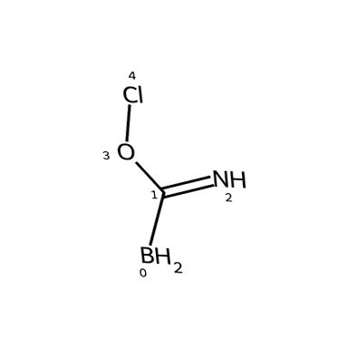 BC(=N)OCl